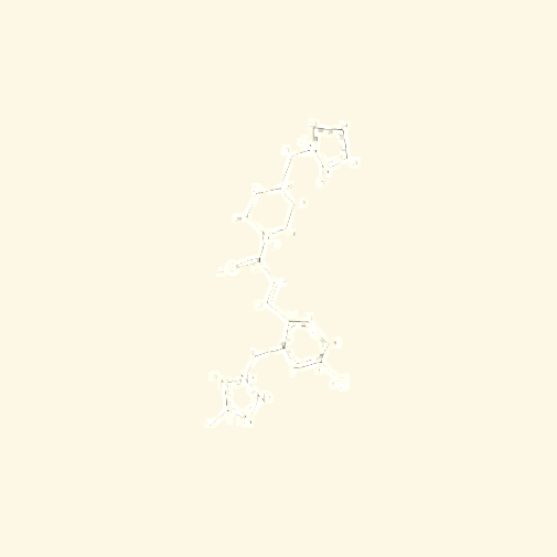 Cc1nnn(Cc2cc(Cl)ccc2C=CC(=O)N2CCC(Cn3cccn3)CC2)n1